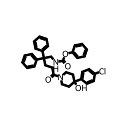 O=C(NCC(CCC(=O)N1CCC(O)(c2ccc(Cl)cc2)CC1)(c1ccccc1)c1ccccc1)Oc1ccccc1